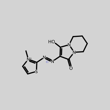 C[n+]1ccsc1/N=N/c1c(O)n2n(c1=O)CCCC2